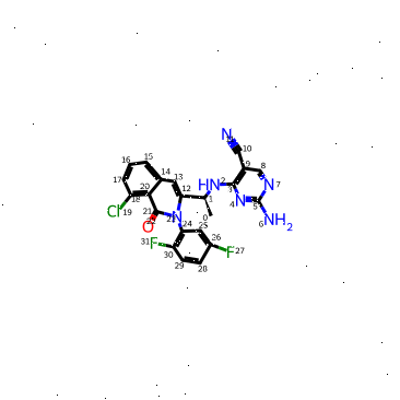 C[C@H](Nc1nc(N)ncc1C#N)c1cc2cccc(Cl)c2c(=O)n1-c1cc(F)ccc1F